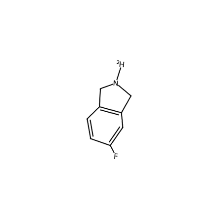 [2H]N1Cc2ccc(F)cc2C1